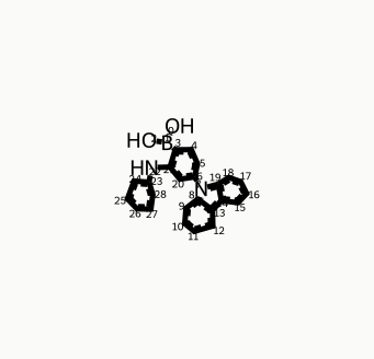 OB(O)c1ccc(-n2c3ccccc3c3ccccc32)cc1Nc1ccccc1